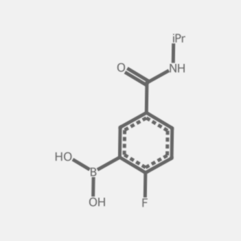 CC(C)NC(=O)c1ccc(F)c(B(O)O)c1